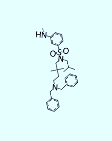 CNc1cccc(S(=O)(=O)N(CC(C)C)CC(C)(C)CCN(Cc2ccccc2)Cc2ccccc2)c1